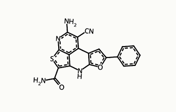 N#Cc1c(N)nc2sc(C(N)=O)c3c2c1-c1cc(-c2ccccc2)oc1N3